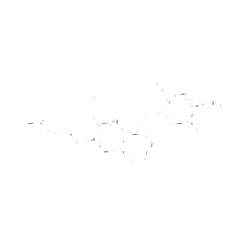 COCCOc1cc2nccc(Oc3cc(F)c(N)cc3F)c2nc1OC